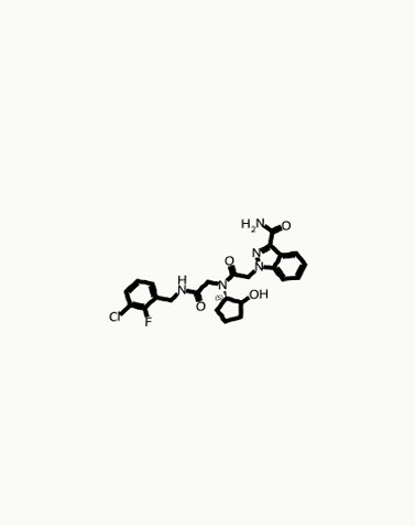 NC(=O)c1nn(CC(=O)N(CC(=O)NCc2cccc(Cl)c2F)[C@H]2CCCC2O)c2ccccc12